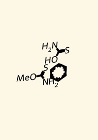 COC(N)=S.NC(O)=S.c1ccccc1